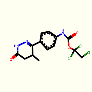 CC1CC(=O)NN=C1c1ccc(NC(=O)OC(Cl)(Cl)CCl)cc1